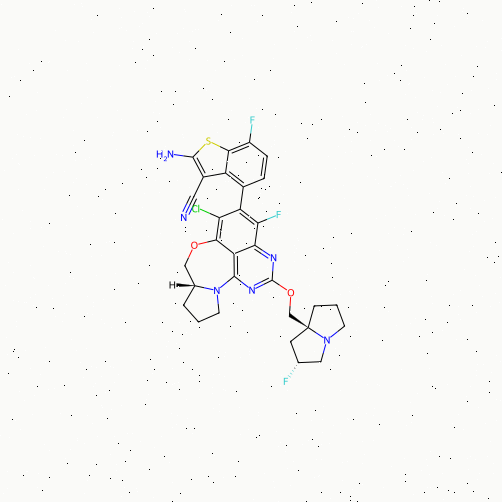 N#Cc1c(N)sc2c(F)ccc(-c3c(Cl)c4c5c(nc(OC[C@@]67CCCN6C[C@H](F)C7)nc5c3F)N3CCC[C@@H]3CO4)c12